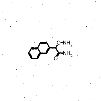 NOC(C(N)=O)c1ccc2ccccc2c1